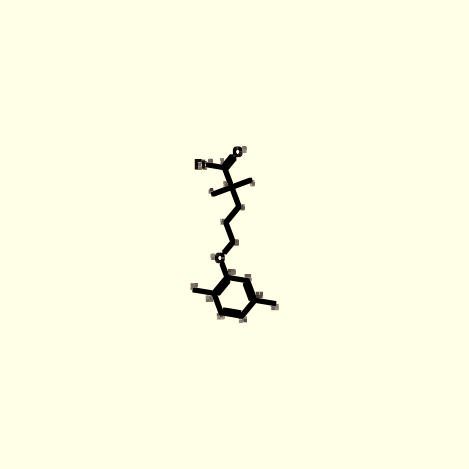 CCC(=O)C(C)(C)CCCOc1cc(C)ccc1C